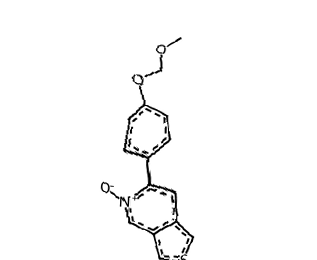 COCOc1ccc(-c2cc3cscc3c[n+]2[O-])cc1